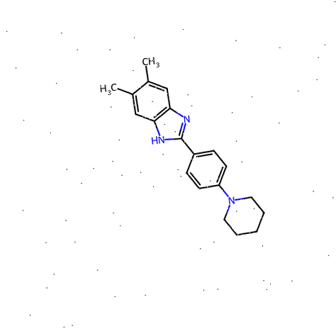 Cc1cc2nc(-c3ccc(N4CCCCC4)cc3)[nH]c2cc1C